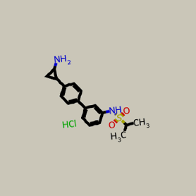 CC(C)S(=O)(=O)Nc1cccc(-c2ccc(C3CC3N)cc2)c1.Cl